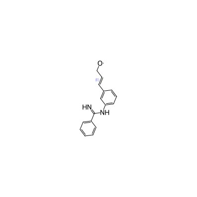 N=C(Nc1cccc(/C=C/C[O])c1)c1ccccc1